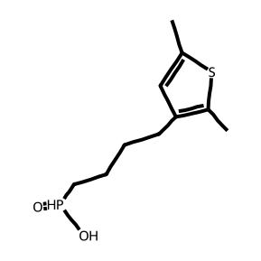 Cc1cc(CCCC[PH](=O)O)c(C)s1